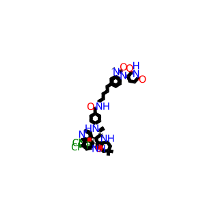 C=C(NC1CCC(C(=O)NCCCCCc2ccc3c(c2)n(C)c(=O)n3C2CCC(=O)NC2=O)CC1)[C@@H]1NC2(CCC(C)(C)CC2)[C@@]2(C(=O)Nc3cc(Cl)ccc32)[C@H]1c1ccnc(Cl)c1F